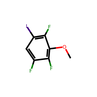 COc1c(F)c(F)cc(I)c1F